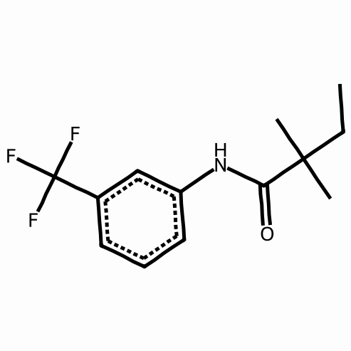 CCC(C)(C)C(=O)Nc1cccc(C(F)(F)F)c1